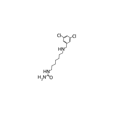 NC(=O)NCCCCCCCNCc1cc(Cl)cc(Cl)c1